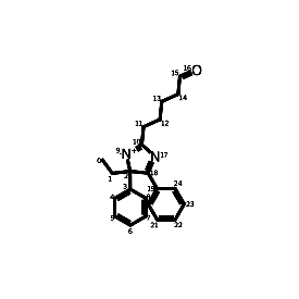 CCC1(c2ccccc2)[N+]=C(CCCCC=O)N=C1c1ccccc1